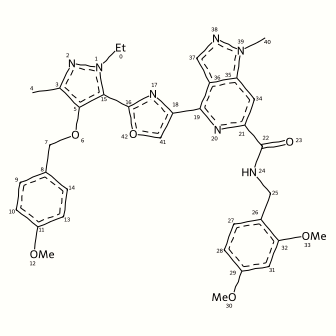 CCn1nc(C)c(OCc2ccc(OC)cc2)c1-c1nc(-c2nc(C(=O)NCc3ccc(OC)cc3OC)cc3c2cnn3C)co1